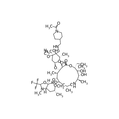 CC[C@H]1OC(=O)[C@H](C)[C@@H](O[C@H]2C[C@@](C)(OC)[C@](O)(CNCC3CCN(C(C)=O)CC3)[C@H](C)O2)[C@H](C)[C@@H](O[C@@H]2O[C@H](C)C[C@H]3[C@H]2OC(C(F)(F)F)N3C)[C@](C)(O)C[C@@H](C)CN[C@H](C)[C@@H](O)[C@]1(C)O